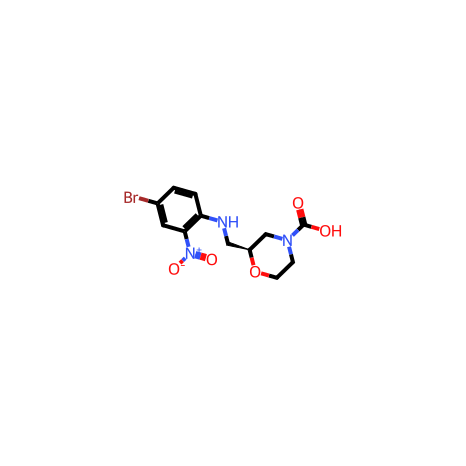 O=C(O)N1CCO[C@@H](CNc2ccc(Br)cc2[N+](=O)[O-])C1